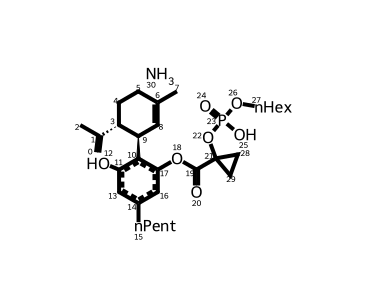 C=C(C)[C@@H]1CCC(C)=C[C@H]1c1c(O)cc(CCCCC)cc1OC(=O)C1(OP(=O)(O)OCCCCCC)CC1.N